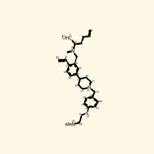 C=CCCC(C=O)N(C)Cc1cc(C2CCN(Cc3ccc(SCCNC)cc3)CC2)ccc1C=C